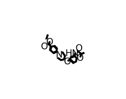 CCOC(=O)c1ccc(N2CCC(OC3=CCC4OC(C)C(=O)NC4=C3)CC2)cc1